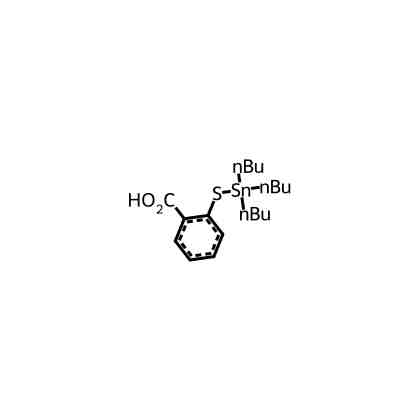 CCC[CH2][Sn]([CH2]CCC)([CH2]CCC)[S]c1ccccc1C(=O)O